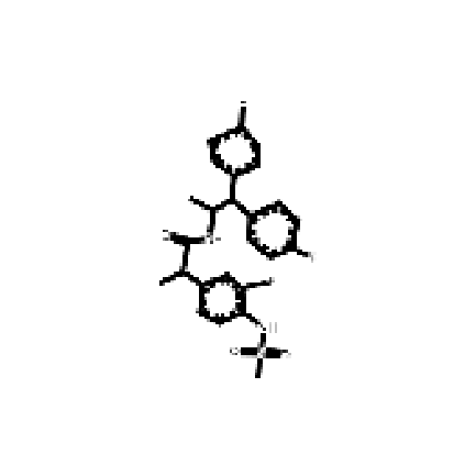 CC(C(=O)NC(C)C(c1ccc(F)cc1)c1ccc(F)cc1)c1ccc(NS(C)(=O)=O)c(F)c1